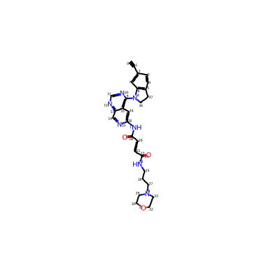 C#Cc1ccc2c(c1)N(c1ncnc3cnc(NC(=O)C=CC(=O)NCCCN4CCOCC4)cc13)CC2